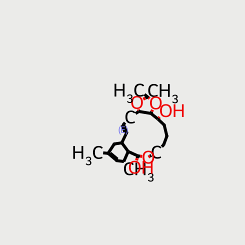 CC1=CC(C)C2C(/C=C/CC3OC(C)(C)OC3C(O)CCCCOC2O)C1